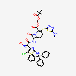 CNc1nnc(SC2=C(C(=O)OCOC(=O)C(C)(C)C)N3C(=O)C(NC(=O)/C(=N\OC)c4nc(NC(c5ccccc5)(c5ccccc5)c5ccccc5)sc4Cl)C3CC2)s1